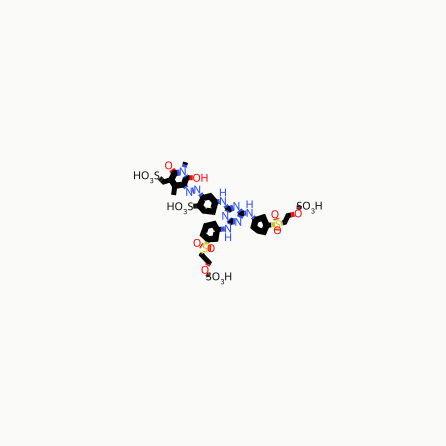 Cc1c(/N=N/c2cc(Nc3nc(Nc4cccc(S(=O)(=O)CCOS(=O)(=O)O)c4)nc(Nc4cccc(S(=O)(=O)CCOS(=O)(=O)O)c4)n3)ccc2S(=O)(=O)O)c(O)n(C)c(=O)c1CS(=O)(=O)O